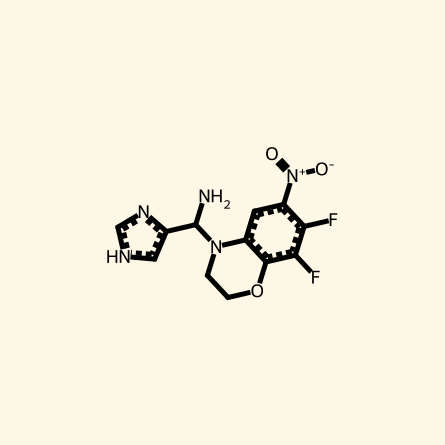 NC(c1c[nH]cn1)N1CCOc2c1cc([N+](=O)[O-])c(F)c2F